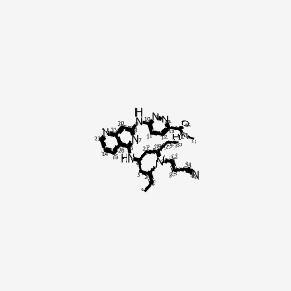 CCC1CC(Nc2nc(Nc3ccc(C(=O)NC)nn3)cc3ncccc23)CC(CC)N1CCC#N